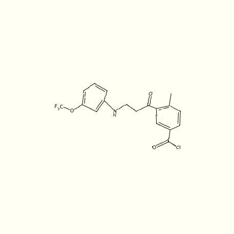 Cc1ccc(C(=O)Cl)cc1C(=O)CCNc1cccc(OC(F)(F)F)c1